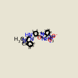 Cc1c(N(C[C@H]2CC[C@@H](Nc3cc(N(C)C)c4ccccc4n3)CC2)C(N)=O)cccc1[N+](=O)[O-]